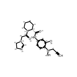 C#CCN(CCC)c1ccc(NC(=O)[C@H]2CCCCN2C(=O)CN2C=NCC2)cc1Cl